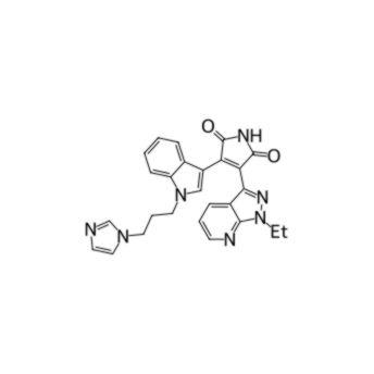 CCn1nc(C2=C(c3cn(CCCn4ccnc4)c4ccccc34)C(=O)NC2=O)c2cccnc21